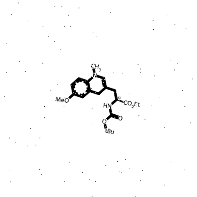 CCOC(=O)[C@H](CC1=CN(C)c2ccc(OC)cc2C1)NC(=O)OC(C)(C)C